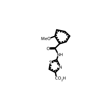 COc1ccccc1C(=O)Nc1nc(C(=O)O)cs1